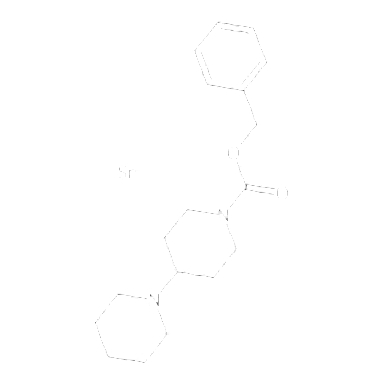 O=C(OCc1ccccc1)N1CCC(N2CCCCC2)CC1.[Sn]